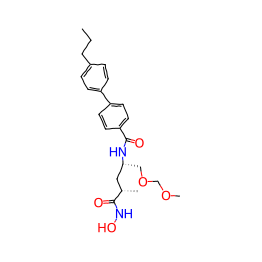 CCCc1ccc(-c2ccc(C(=O)N[C@H](COCOC)C[C@H](C)C(=O)NO)cc2)cc1